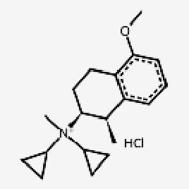 COc1cccc2c1CC[C@H]([N+](C)(C1CC1)C1CC1)[C@@H]2C.Cl